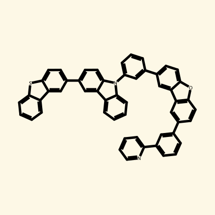 c1ccc(-c2cccc(-c3ccc4oc5ccc(-c6cccc(-n7c8ccccc8c8cc(-c9ccc%10sc%11ccccc%11c%10c9)ccc87)c6)cc5c4c3)c2)nc1